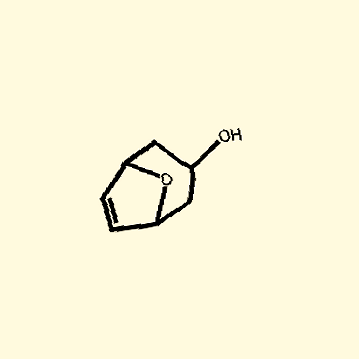 OC1CC2C=CC(C1)O2